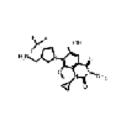 COc1c(N2C[C@@H](CN)[C@H](C(F)(F)F)C2)c(F)cc2c(=O)n(N)c(=O)n(C3CC3)c12.Cl